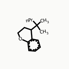 CCCC(C)(C)C1CCOc2ccccc21